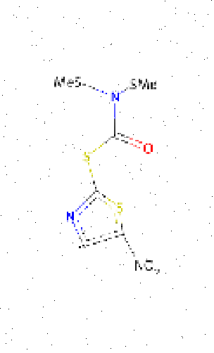 CSN(SC)C(=O)Sc1n[c]c([N+](=O)[O-])s1